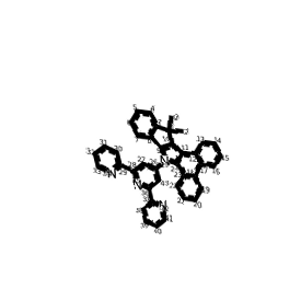 CC1(C)c2ccccc2-c2c1c1c3ccccc3c3ccccc3c1n2-c1cc(-c2ccccn2)nc(-c2ccccn2)c1